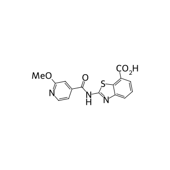 COc1cc(C(=O)Nc2nc3cccc(C(=O)O)c3s2)ccn1